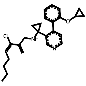 C=C(CNC1(c2cnccc2-c2ccccc2OC2CC2)CC1)/C(Cl)=C\CCCC